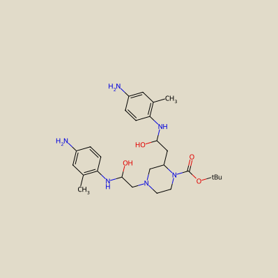 Cc1cc(N)ccc1NC(O)CC1CN(CC(O)Nc2ccc(N)cc2C)CCN1C(=O)OC(C)(C)C